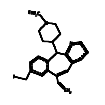 C=CC1=Cc2cccnc2C(C2CCN(C(=O)OCC)CC2)c2ccc(CI)cc21